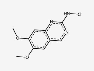 COc1cc2cnc(NCl)nc2cc1OC